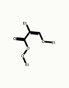 CCOC=C(CC)C(=O)OOCC